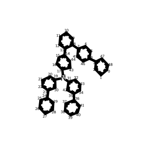 c1ccc(-c2ccc(-c3ccccc3-c3ccc(N(c4cccc(-c5ccccc5)c4)c4cccc(-c5ccccc5)c4)cc3)cc2)cc1